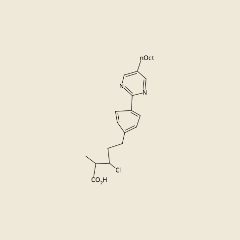 CCCCCCCCc1cnc(-c2ccc(CCC(Cl)C(C)C(=O)O)cc2)nc1